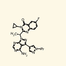 CC(C)n1cc(-c2nn([C@@H](C)c3nc4ccc(F)cc4c(=O)n3C3CC3)c3ncnc(N)c23)cn1